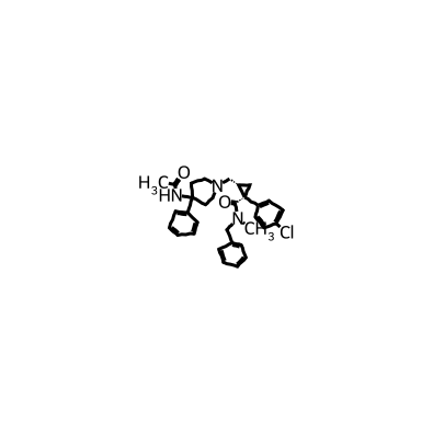 CC(=O)NC1(c2ccccc2)CCN(C[C@@H]2C[C@@]2(C(=O)N(C)Cc2ccccc2)c2ccc(Cl)cc2)CC1